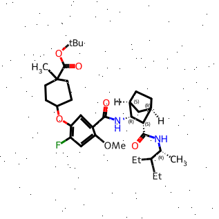 CCC(CC)[C@@H](C)NC(=O)[C@H]1[C@@H]2CC[C@@H](C2)[C@H]1NC(=O)c1cc(OC2CCC(C)(C(=O)OC(C)(C)C)CC2)c(F)cc1OC